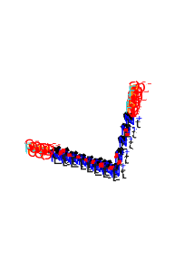 CC[n+]1cccc(C)c1.CC[n+]1cccc(C)c1.CC[n+]1cccc(C)c1.CC[n+]1cccc(C)c1.CC[n+]1cccc(C)c1.CC[n+]1cccc(C)c1.CC[n+]1cccc(C)c1.CC[n+]1cccc(C)c1.CC[n+]1cccc(C)c1.CC[n+]1cccc(C)c1.CC[n+]1cccc(C)c1.CC[n+]1cccc(C)c1.O=P([O-])([O-])F.O=P([O-])([O-])F.O=P([O-])([O-])F.O=P([O-])([O-])F.O=P([O-])([O-])F.O=P([O-])([O-])F